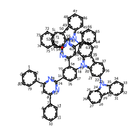 c1ccc(-c2cc(-c3ccccc3)nc(-c3ccc(-n4c5cc(-n6c7ccccc7c7ccccc76)ccc5c5ccc(-n6c7ccccc7c7ccccc76)cc54)c(-c4cc(-c5ccccc5)nc(-c5ccccc5)n4)c3)n2)cc1